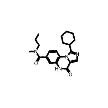 CCCN(C)C(=O)c1ccc2c(c1)[nH]c(=O)c1cnc(C3CCCCC3)n12